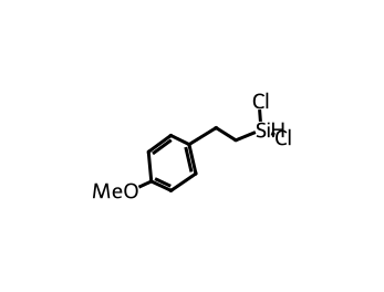 COc1ccc(CC[SiH](Cl)Cl)cc1